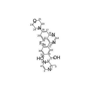 Cc1nccnc1C(O)c1cc(-c2ncnc3cc(N4CCOCC4)ccc23)c(F)cc1O